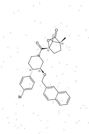 CC1(C)[C@@]2(C)CC[C@]1(C(=O)N1CC[C@@H](c3ccc(Br)cc3)[C@H](OCc3ccc4ccccc4c3)C1)OC2=O